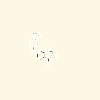 NC1CCC(Oc2ccc3c(=O)[nH]cnc3c2)CC1